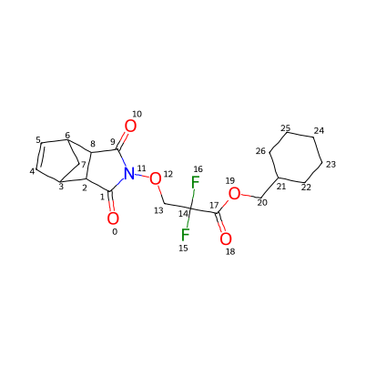 O=C1C2C3C=CC(C3)C2C(=O)N1OCC(F)(F)C(=O)OCC1CCCCC1